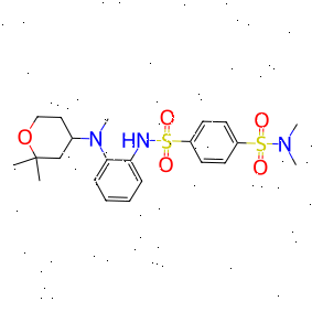 CN(c1ccccc1NS(=O)(=O)c1ccc(S(=O)(=O)N(C)C)cc1)C1CCOC(C)(C)C1